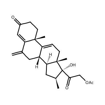 C=C1C[C@@H]2C(=CC[C@@]3(C)[C@H]2C[C@H](C)[C@]3(O)C(=O)COC(C)=O)[C@@]2(C)CCC(=O)C=C12